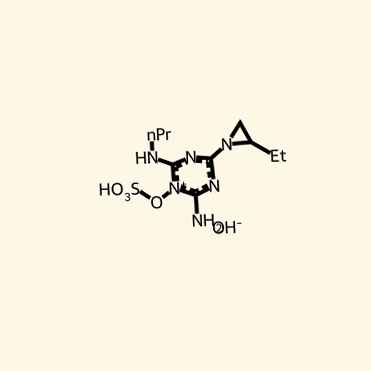 CCCNc1nc(N2CC2CC)nc(N)[n+]1OS(=O)(=O)O.[OH-]